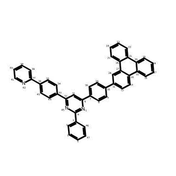 c1ccc(-c2nc(-c3ccc(-c4ccc5c6ccccc6c6ccccc6c5c4)cc3)cc(-c3ccc(-c4ccccn4)cc3)n2)cc1